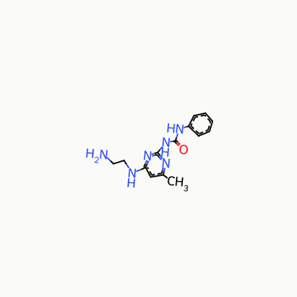 Cc1cc(NCCN)nc(NC(=O)Nc2ccccc2)n1